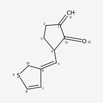 [CH]=C1CCC(C=C2C=CSC2)C1=O